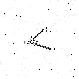 C=C(CC(=O)OC(=O)CCCCCCCCC(=O)O)C(=O)OC(=O)CCCCCCCCC(=O)O